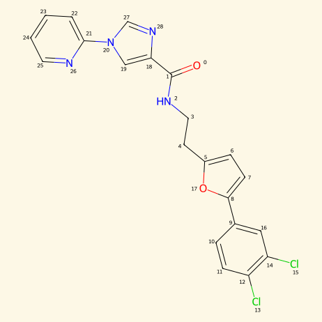 O=C(NCCc1ccc(-c2ccc(Cl)c(Cl)c2)o1)c1cn(-c2ccccn2)cn1